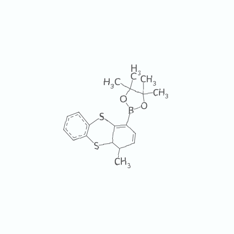 CC1C=CC(B2OC(C)(C)C(C)(C)O2)=C2Sc3ccccc3SC21